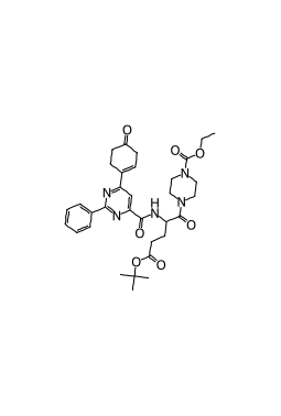 CCOC(=O)N1CCN(C(=O)C(CCC(=O)OC(C)(C)C)NC(=O)c2cc(C3=CCC(=O)CC3)nc(-c3ccccc3)n2)CC1